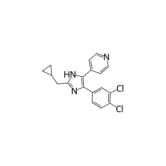 Clc1ccc(-c2nc(CC3CC3)[nH]c2-c2ccncc2)cc1Cl